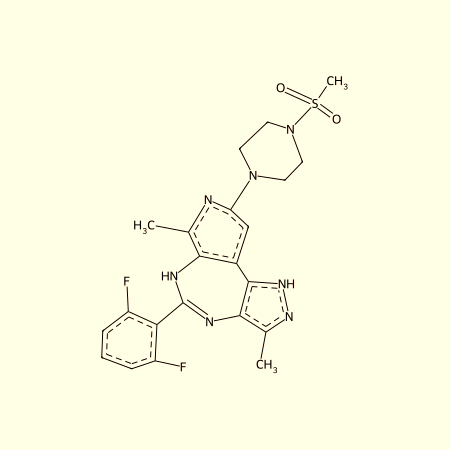 Cc1n[nH]c2c1N=C(c1c(F)cccc1F)Nc1c-2cc(N2CCN(S(C)(=O)=O)CC2)nc1C